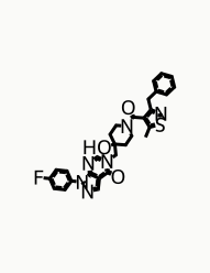 Cc1snc(Cc2ccccc2)c1C(=O)N1CCC(O)(Cn2cnc3c(cnn3-c3ccc(F)cc3)c2=O)CC1